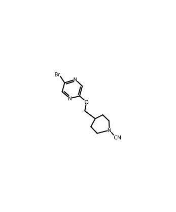 N#CN1CCC(COc2cnc(Br)cn2)CC1